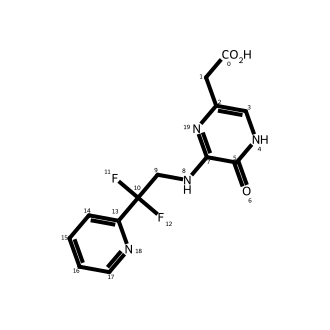 O=C(O)Cc1c[nH]c(=O)c(NCC(F)(F)c2ccccn2)n1